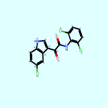 O=C(Nc1c(Cl)cccc1Cl)C(=O)c1c[nH]c2ccc(Cl)cc12